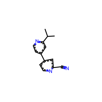 CC(C)c1cc(-c2ccnc(C#N)c2)ccn1